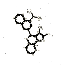 Cc1oc2c(c(-c3cc(C(C)C)c4ccccc4c3)nc3cccnc32)c1C